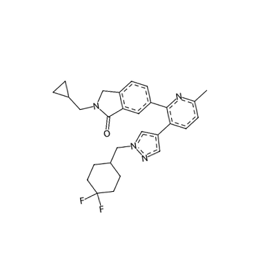 Cc1ccc(-c2cnn(CC3CCC(F)(F)CC3)c2)c(-c2ccc3c(c2)C(=O)N(CC2CC2)C3)n1